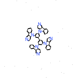 c1ccc2c(c1)c1cnccc1n2-c1cc(-c2cc(-n3c4ccccc4c4cnccc43)cc(-n3c4ccccc4c4cnccc43)c2)cc(-n2c3ccccc3c3cnccc32)c1